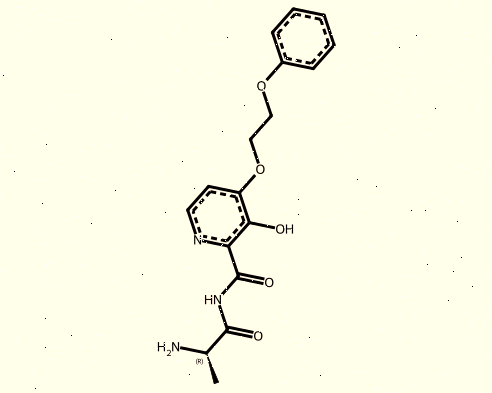 C[C@@H](N)C(=O)NC(=O)c1nccc(OCCOc2ccccc2)c1O